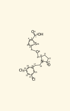 O=C(O)c1ccc(COCC2CCC(=O)N2CCc2cc(Cl)cc(Cl)c2)s1